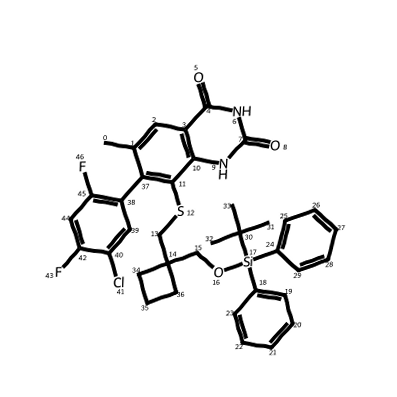 Cc1cc2c(=O)[nH]c(=O)[nH]c2c(SCC2(CO[Si](c3ccccc3)(c3ccccc3)C(C)(C)C)CCC2)c1-c1cc(Cl)c(F)cc1F